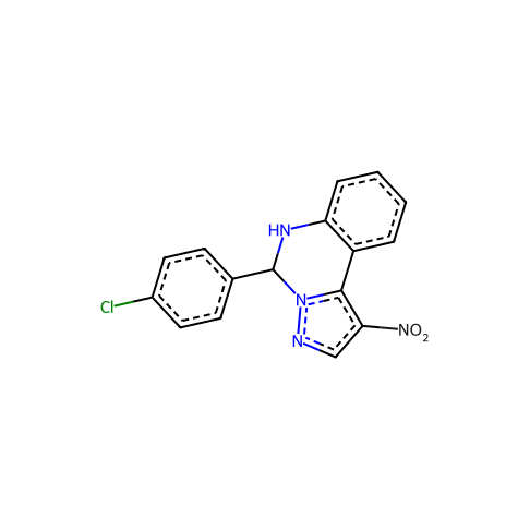 O=[N+]([O-])c1cnn2c1-c1ccccc1NC2c1ccc(Cl)cc1